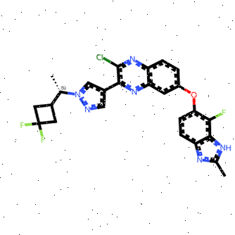 Cc1nc2ccc(Oc3ccc4nc(Cl)c(-c5cnn([C@@H](C)C6CC(F)(F)C6)c5)nc4c3)c(F)c2[nH]1